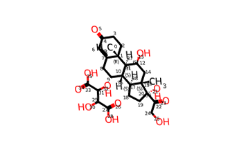 C[C@]12CCC(=O)C=C1CC[C@@H]1[C@@H]2[C@@H](O)C[C@@]2(C)[C@H]1CC[C@]2(O)C(=O)CO.O=C(O)C(O)C(O)C(=O)O